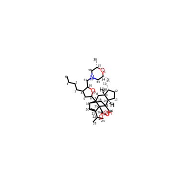 CCCCC1CC(C23C[C@@H]4[C@H](C)CC[C@H]4C4(C=O)CC2C=C(C(C)C)C34C(=O)O)OC1CN1C[C@@H](C)O[C@@H](C)C1